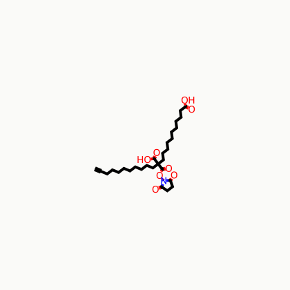 C#CCCCCCCCCCC(CCCCCCCCCCC(=O)O)(C(=O)O)C(=O)ON1C(=O)CCC1=O